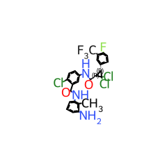 Cc1c(N)cccc1NC(=O)c1cc(NC(=O)[C@H]2[C@H](c3ccc(F)c(C(F)(F)F)c3)C2(Cl)Cl)ccc1Cl